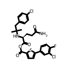 CC(C)(Cc1ccc(Cl)cc1)N[C@@H](CCC(N)=O)C(=O)OC(=O)c1ccc(-c2ccc(F)c(Cl)c2)s1